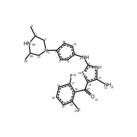 CC1CN(c2ccc(Nc3nc(N)c(C(=O)c4c(F)cccc4F)s3)cc2)CC(C)N1